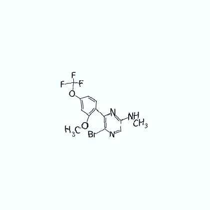 CNc1cnc(Br)c(-c2ccc(OC(F)(F)F)cc2OC)n1